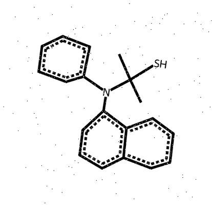 CC(C)(S)N(c1ccccc1)c1cccc2ccccc12